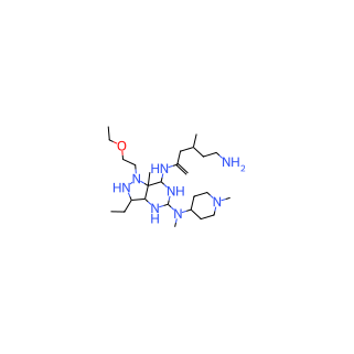 C=C(CC(C)CCN)NC1NC(N(C)C2CCN(C)CC2)NC2C(CC)NN(CCOCC)C12C